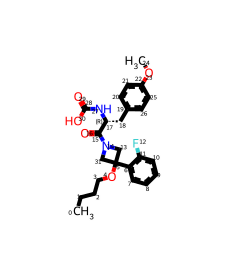 CCCCOC1(c2ccccc2F)CN(C(=O)[C@@H](Cc2ccc(OC)cc2)NC(=O)O)C1